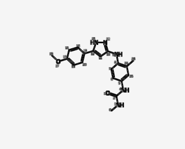 CNC(=O)Nc1ccc(Nc2cc(-c3ccc(OC)cc3)[nH]n2)c(C)c1